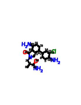 C=C(CN1Cc2c(-c3ccc(N)c(Cl)c3)ccc(N)c2C1=O)C(N)=O